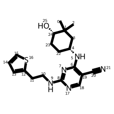 CC1(C)C[C@H](Nc2nc(NCCc3cccs3)ncc2C#N)CC[C@@H]1O